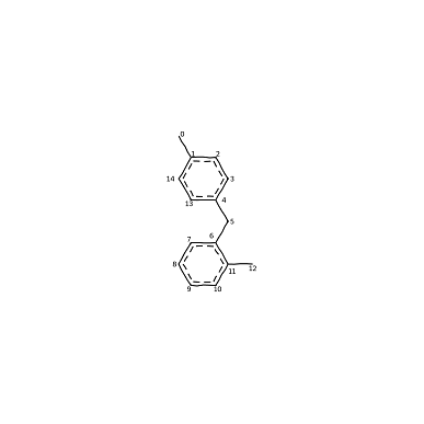 Cc1ccc(Cc2ccccc2C)cc1